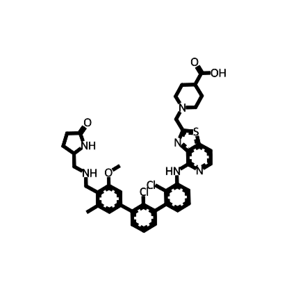 COc1cc(-c2cccc(-c3cccc(Nc4nccc5sc(CN6CCC(C(=O)O)CC6)nc45)c3Cl)c2Cl)cc(C)c1CNCC1CCC(=O)N1